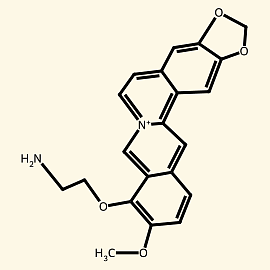 COc1ccc2cc3c4cc5c(cc4cc[n+]3cc2c1OCCN)OCO5